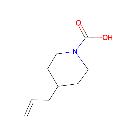 C=CCC1CCN(C(=O)O)CC1